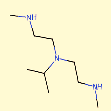 CNCCN(CCNC)C(C)C